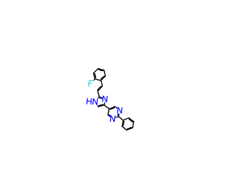 Fc1ccccc1C=Cc1nc(-c2cnc(-c3ccccc3)nc2)c[nH]1